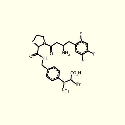 CC(C)C(C(=O)O)N(C)c1ccc(CNC(=O)C2SCCN2C(=O)CC(N)Cc2cc(F)c(F)cc2F)cc1